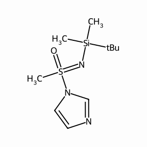 CC(C)(C)[Si](C)(C)N=S(C)(=O)n1ccnc1